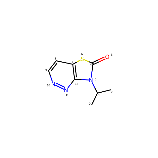 CC(C)n1c(=O)sc2ccnnc21